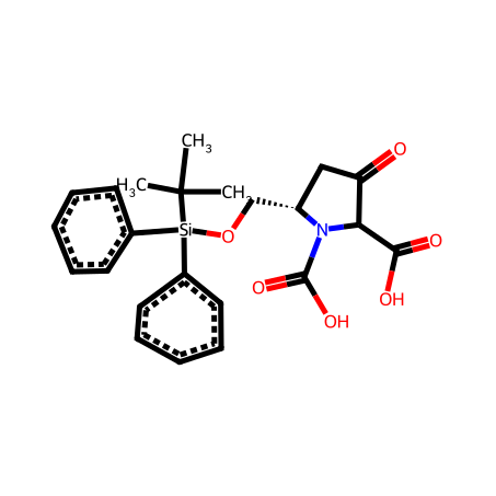 CC(C)(C)[Si](OC[C@@H]1CC(=O)C(C(=O)O)N1C(=O)O)(c1ccccc1)c1ccccc1